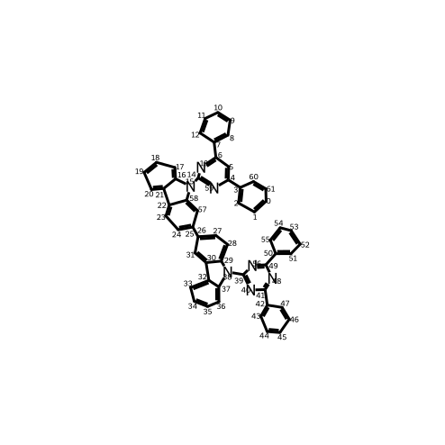 c1ccc(-c2cc(-c3ccccc3)nc(-n3c4ccccc4c4ccc(-c5ccc6c(c5)c5ccccc5n6-c5nc(-c6ccccc6)nc(-c6ccccc6)n5)cc43)n2)cc1